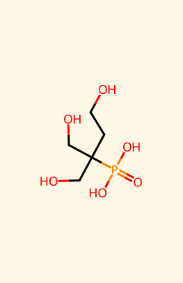 O=P(O)(O)C(CO)(CO)CCO